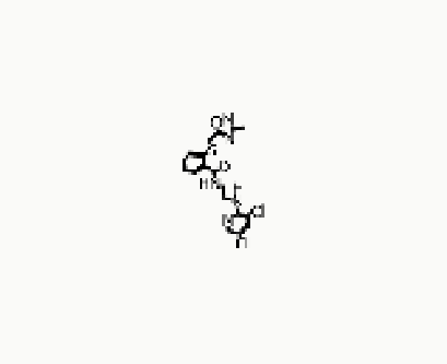 Cc1noc(CSc2ccccc2C(=O)NCCNc2ncc(Cl)cc2Cl)n1